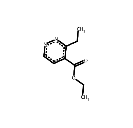 CCOC(=O)c1ccnnc1CC